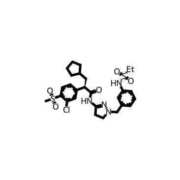 CCS(=O)(=O)Nc1cccc(CN2CCC(NC(=O)[C@H](CC3CCCC3)c3ccc(S(C)(=O)=O)c(Cl)c3)=N2)c1